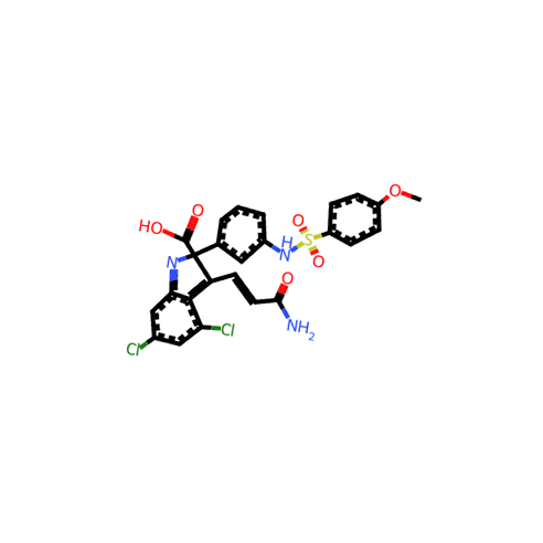 COc1ccc(S(=O)(=O)Nc2cccc(C3(C(=O)O)N=c4cc(Cl)cc(Cl)c4=C3C=CC(N)=O)c2)cc1